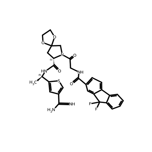 C[C@@H](NC(=O)[C@@H]1CC2(CN1C(=O)CNC(=O)c1ccc3c(c1)C(F)(F)c1ccccc1-3)OCCO2)c1cc(C(=N)N)cs1